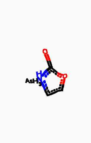 O=c1[nH]cco1.[AsH3]